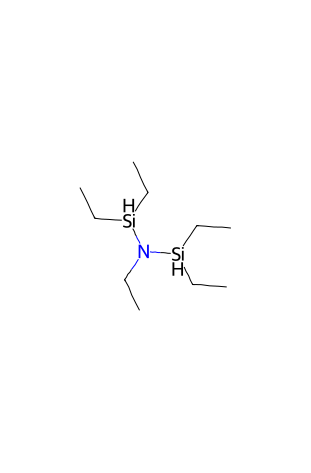 CCN([SiH](CC)CC)[SiH](CC)CC